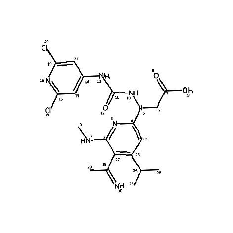 CNc1nc(N(CC(=O)O)NC(=O)Nc2cc(Cl)nc(Cl)c2)cc(C(C)C)c1C(C)=N